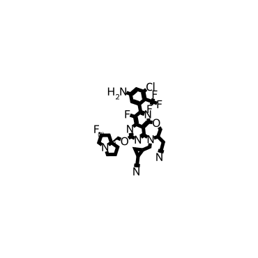 N#CCC1COc2nc(-c3cc(N)cc(Cl)c3C(F)(F)F)c(F)c3nc(OC[C@@]45CCCN4C[C@H](F)C5)nc(c23)N1CC1CC1C#N